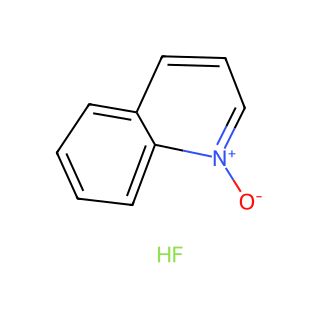 F.[O-][n+]1cccc2ccccc21